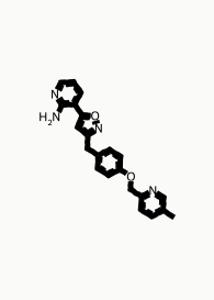 Cc1ccc(COc2ccc(Cc3cc(-c4cccnc4N)on3)cc2)nc1